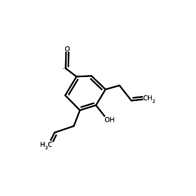 C=CCc1cc([C]=O)cc(CC=C)c1O